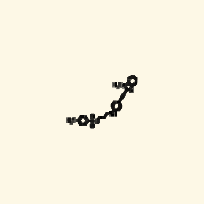 Cc1ccc(S(=O)(=O)OCCCNc2ccc(C#Cc3nc4ccccc4n3C)cc2)cc1